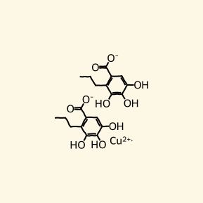 CCCc1c(C(=O)[O-])cc(O)c(O)c1O.CCCc1c(C(=O)[O-])cc(O)c(O)c1O.[Cu+2]